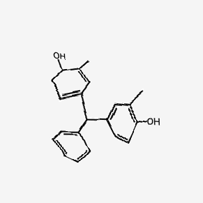 CC1=CC(C(c2ccccc2)c2ccc(O)c(C)c2)=CCC1O